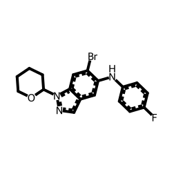 Fc1ccc(Nc2cc3cnn(C4CCCCO4)c3cc2Br)cc1